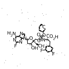 C#C[C@]1(CO[P@@](=O)(N[C@@H](Cc2cc(F)cc(F)c2)C(=O)O)Oc2ccccc2)O[C@@H](n2cnc3c(N)nc(F)nc32)C[C@@H]1O